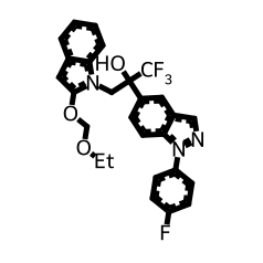 CCOCOc1cc2ccccc2n1CC(O)(c1ccc2c(cnn2-c2ccc(F)cc2)c1)C(F)(F)F